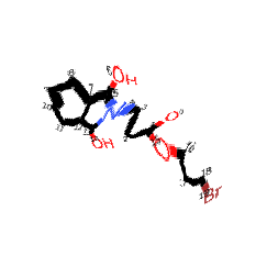 O=C(CCN1C(O)c2ccccc2C1O)OCCCBr